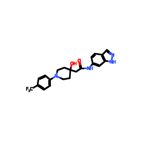 O=C(CC1(O)CCN(c2ccc(C(F)(F)F)cc2)CC1)Nc1ccc2cn[nH]c2c1